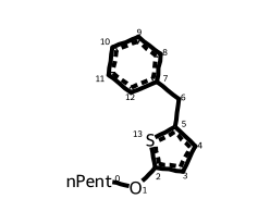 CCCCCOc1ccc(Cc2ccccc2)s1